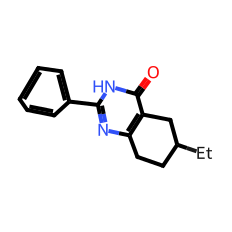 CCC1CCc2nc(-c3ccccc3)[nH]c(=O)c2C1